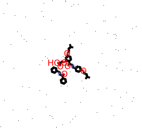 CC(C)=CCOc1ccc(/C=C/C(=O)c2ccc(OCC=C(C)C)cc2OCC(=O)O)cc1.O=C(/C=C/c1ccccc1)c1ccccc1